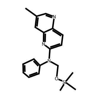 Cc1cnc2ccc(N(CO[Si](C)(C)C)c3ccccc3)nc2c1